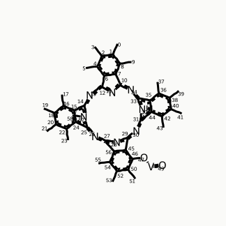 Cc1c(C)c(C)c2c(c1C)-c1nc-2nc2c3c(C)c(C)c(C)c(C)c3c(nc3nc(nc4[nH]c(n1)c1c(C)c(C)c(C)c(C)c41)-c1c([O][V]=[O])c(C)c(C)c(C)c1-3)n2C